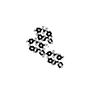 O=C(Nc1ccc(F)c(Oc2ccc3ncc(CN4CCNCC4)nc3c2)c1)Nc1ccc(Cl)c(C(F)(F)F)c1.O=C(Nc1ccc(F)cc1)Nc1ccc(F)c(Oc2ccc3ncc(CN4CCOCC4)nc3c2)c1.O=C(Nc1cccc(F)c1)Nc1ccc(F)c(Oc2ccc3ncc(CN4CCOCC4)nc3c2)c1